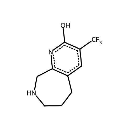 Oc1nc2c(cc1C(F)(F)F)CCCNC2